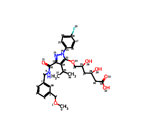 COCc1cccc(CNC(=O)c2nn(-c3ccc(F)cc3)c(OC[C@@H](O)C[C@@H](O)CC(=O)O)c2C(C)C)c1